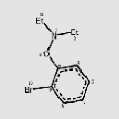 CCN(CC)Oc1ccccc1Br